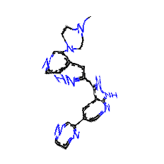 CN1CCN(c2cncc3[nH]c(-c4n[nH]c5ncc(-c6cnccn6)cc45)cc23)CC1